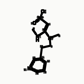 CNC(=C[N+](=O)[O-])N(C)CCc1cccnc1